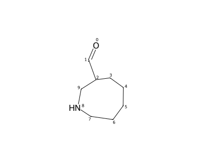 O=[C]C1CCCCCNC1